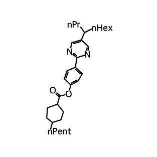 CCCCCCC(CCC)c1cnc(-c2ccc(OC(=O)C3CCC(CCCCC)CC3)cc2)nc1